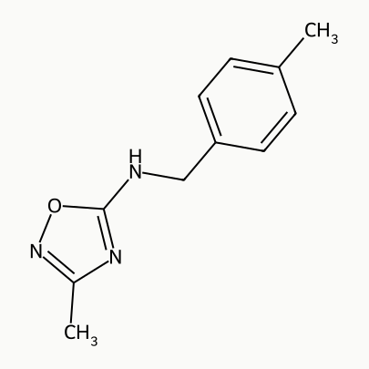 Cc1ccc(CNc2nc(C)no2)cc1